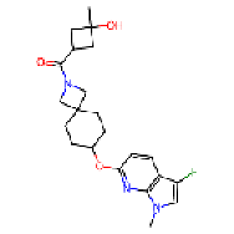 Cn1cc(F)c2ccc(OC3CCC4(CC3)CN(C(=O)C3CC(C)(O)C3)C4)nc21